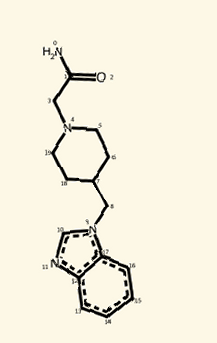 NC(=O)CN1CCC(Cn2cnc3ccccc32)CC1